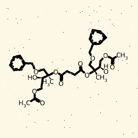 CC(=O)OC[C@@H](O)[C@@](C)(COCc1ccccc1)OC(=O)CCC(=O)O[C@](C)(COCc1ccccc1)[C@H](O)COC(C)=O